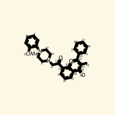 COc1ccccc1N1CCN(CC(=O)c2cccc3c(=O)c(C)c(-c4ccccc4)oc23)CC1